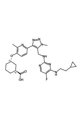 Cc1nc(-c2nnn(C)c2CNc2ncc(F)c(NCCC3CC3)n2)ccc1O[C@H]1CCC[C@H](C(=O)O)C1